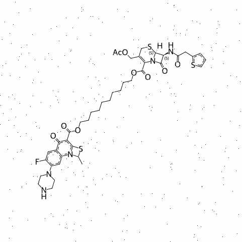 CC(=O)OCC1=C(C(=O)OCCCCCCCCCCOC(=O)c2c3n(c4cc(N5CCNCC5)c(F)cc4c2=O)C(C)S3)N2C(=O)[C@H](NC(=O)Cc3cccs3)[C@@H]2SC1